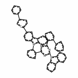 c1ccc(-c2ccc(-c3ccc4c(c3)c3ccccc3n4-c3ccccc3-c3nc(-c4ccccc4-c4ccccc4)nc(-n4c5ccccc5c5ccccc54)n3)cc2)cc1